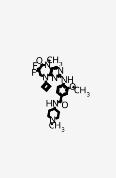 COc1cc(C(=O)NC2CCN(C)CC2)ccc1Nc1ncc2c(n1)N(C1=CC=C1)CC(F)(F)C(=O)N2C